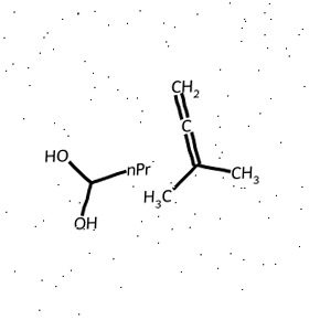 C=C=C(C)C.CCCC(O)O